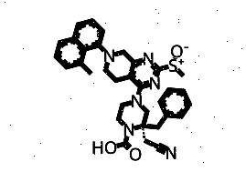 Cc1cccc2cccc(N3CCc4c(nc([S+](C)[O-])nc4N4CCN(C(=O)O)[C@](CC#N)(Cc5ccccc5)C4)C3)c12